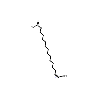 CCCCCCCC/C=C\CCCCCCCCCCCCO[P](=O)O